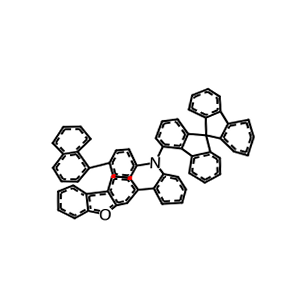 c1ccc(N(c2ccc(-c3cccc4ccccc34)cc2)c2cccc3c2-c2ccccc2C32c3ccccc3-c3ccccc32)c(-c2ccc3c(c2)oc2ccccc23)c1